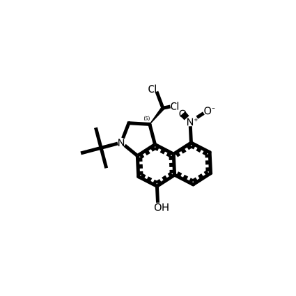 CC(C)(C)N1C[C@@H](C(Cl)Cl)c2c1cc(O)c1cccc([N+](=O)[O-])c21